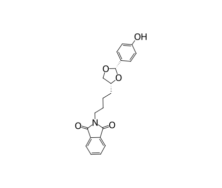 O=C1c2ccccc2C(=O)N1CCCC[C@@H]1CO[C@H](c2ccc(O)cc2)O1